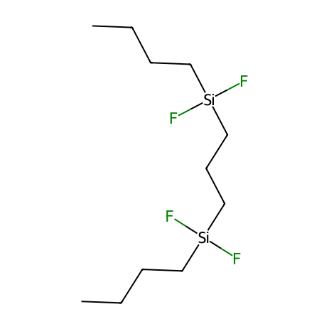 CCCC[Si](F)(F)CCC[Si](F)(F)CCCC